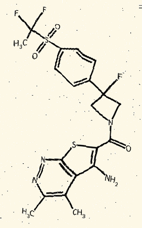 Cc1nnc2sc(C(=O)N3CC(F)(c4ccc(S(=O)(=O)C(C)(F)F)cc4)C3)c(N)c2c1C